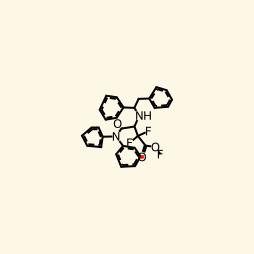 O=C(C(NC(Cc1ccccc1)c1ccccc1)C(F)(F)C(=O)OF)N(c1ccccc1)c1ccccc1